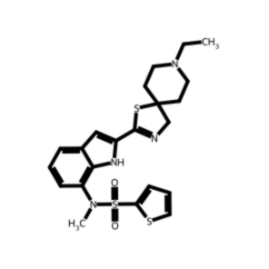 CCN1CCC2(CC1)CN=C(c1cc3cccc(N(C)S(=O)(=O)c4cccs4)c3[nH]1)S2